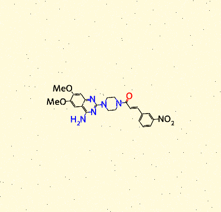 COc1cc2nc(N3CCN(C(=O)C=Cc4cccc([N+](=O)[O-])c4)CC3)nc(N)c2cc1OC